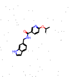 CC(C)Oc1ccc(C(=O)NCc2ccc3cc[nH]c3c2)cn1